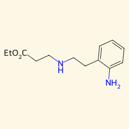 CCOC(=O)CCNCCc1ccccc1N